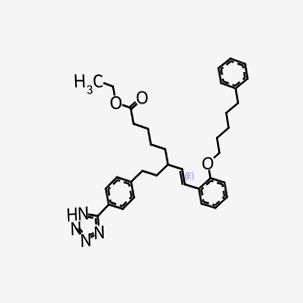 CCOC(=O)CCCCC(/C=C/c1ccccc1OCCCCCc1ccccc1)CCc1ccc(-c2nnn[nH]2)cc1